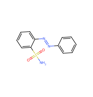 NS(=O)(=O)c1ccccc1N=Nc1ccccc1